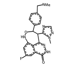 CNCc1ccc(C2ONc3cc(F)cc4c(=O)[nH]nc(c34)C2c2ncnn2C)cc1